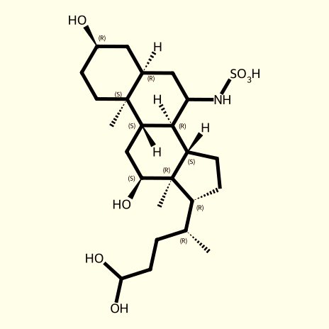 C[C@H](CCC(O)O)[C@H]1CC[C@H]2[C@@H]3C(NS(=O)(=O)O)C[C@@H]4C[C@H](O)CC[C@]4(C)[C@H]3C[C@H](O)[C@]12C